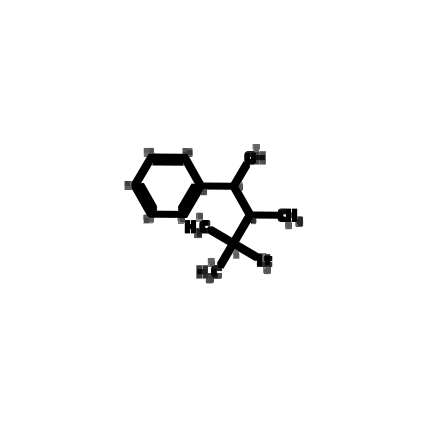 CCC(C)(C)C(C)C(O)c1ccccc1